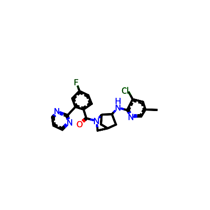 Cc1cnc(NC2CC3CC2N(C(=O)c2ccc(F)cc2-c2ncccn2)C3)c(Cl)c1